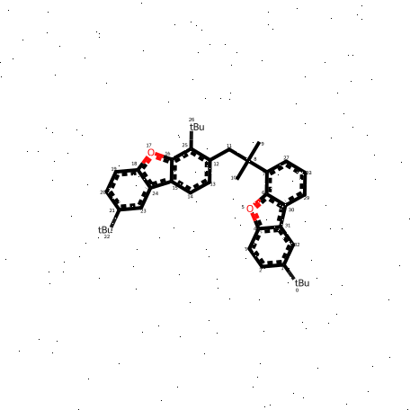 CC(C)(C)c1ccc2oc3c(C(C)(C)Cc4ccc5c(oc6ccc(C(C)(C)C)cc65)c4C(C)(C)C)cccc3c2c1